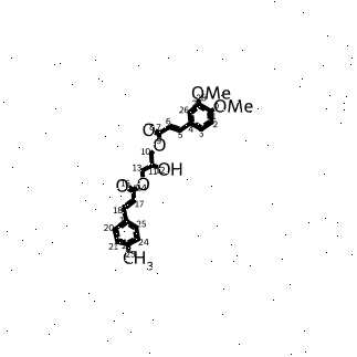 COc1ccc(C=CC(=O)OCC(O)COC(=O)C=Cc2ccc(C)cc2)cc1OC